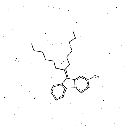 CCCCCCC(CCCCCC)=C1c2ccccc2-c2ccc(O)cc21